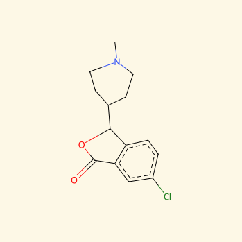 CN1CCC(C2OC(=O)c3cc(Cl)ccc32)CC1